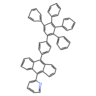 c1ccc(-c2cc(-c3ccc(-c4c5ccccc5c(-c5ccccn5)c5ccccc45)cc3)c(-c3ccccc3)c(-c3ccccc3)c2-c2ccccc2)cc1